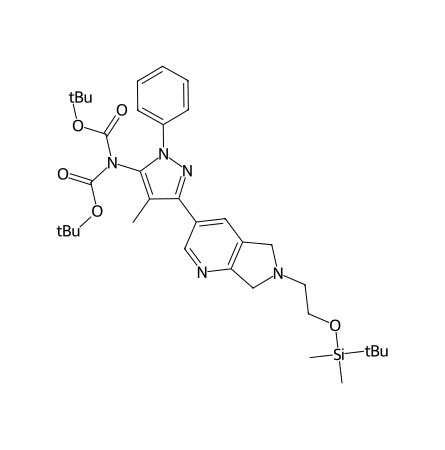 Cc1c(-c2cnc3c(c2)CN(CCO[Si](C)(C)C(C)(C)C)C3)nn(-c2ccccc2)c1N(C(=O)OC(C)(C)C)C(=O)OC(C)(C)C